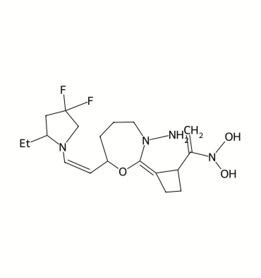 C=C(C1CC/C1=C1\OC(/C=C\N2CC(F)(F)CC2CC)CCCN1N)N(O)O